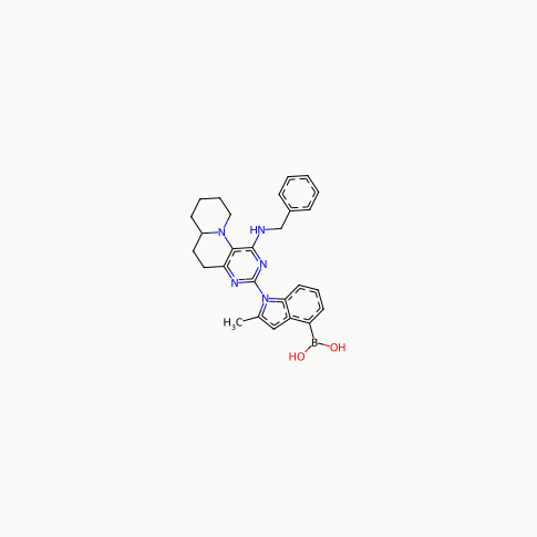 Cc1cc2c(B(O)O)cccc2n1-c1nc2c(c(NCc3ccccc3)n1)N1CCCCC1CC2